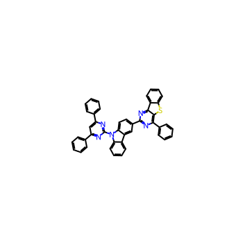 c1ccc(-c2cc(-c3ccccc3)nc(-n3c4ccccc4c4cc(-c5nc(-c6ccccc6)c6sc7ccccc7c6n5)ccc43)n2)cc1